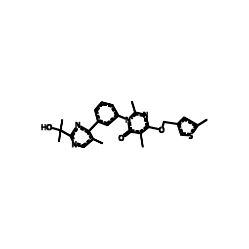 Cc1cc(COc2nc(C)n(-c3cccc(-c4nc(C(C)(C)O)ncc4C)c3)c(=O)c2C)cs1